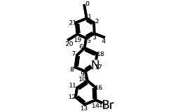 Cc1cc(C)c(-c2ccc(-c3cccc(Br)c3)nc2)c(C)c1